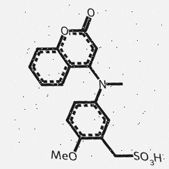 COc1ccc(N(C)c2cc(=O)oc3ccccc23)cc1CS(=O)(=O)O